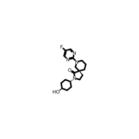 O=C1N([C@H]2CC[C@H](O)CC2)CC[C@@]12CCCN(c1ncc(F)cn1)C2